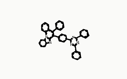 c1ccc(-c2nc(-c3ccccc3)nc(-c3ccc(-c4c(-c5ccccc5)c5ccccc5n5c4nc4ccccc45)cc3)n2)cc1